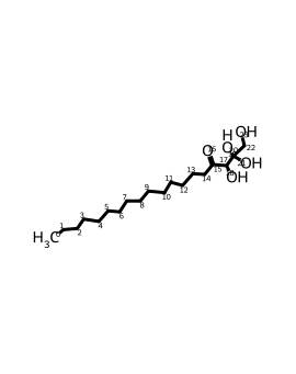 CCCCCCCCCCCCCCCC(=O)C(O)C(O)(O)CO